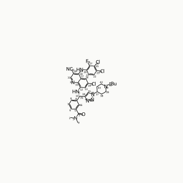 CN(C)C(=O)c1cccc([C@H](Nc2cc(Cl)cc3c(Nc4ccc(Cl)c(Cl)c4F)c(C#N)cnc23)c2cn(C3CCN(C(C)(C)C)CC3)nn2)c1